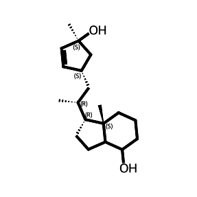 C[C@H](C[C@@H]1C=C[C@@](C)(O)C1)[C@H]1CCC2C(O)CCC[C@]21C